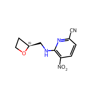 N#Cc1ccc([N+](=O)[O-])c(NC[C@@H]2CCO2)n1